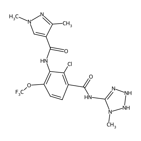 Cc1nn(C)cc1C(=O)Nc1c(OC(F)(F)F)ccc(C(=O)NC2=NNNN2C)c1Cl